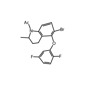 CC(=O)N1c2ccc(Br)c(Oc3cc(F)ccc3F)c2CCC1C